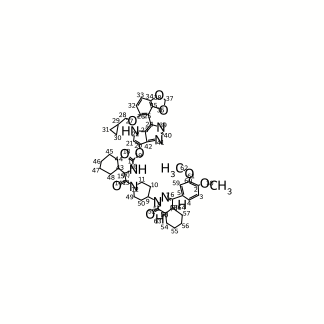 COc1ccc(C2=NN(C3CCN(C(=O)[C@H](NC(=O)Oc4c[nH]c5c(-c6c(OCC7CC7)ccc7c6OCO7)ncnc45)C4CCCCC4)CC3)C(=O)[C@@H]3CCCC[C@H]23)cc1OC